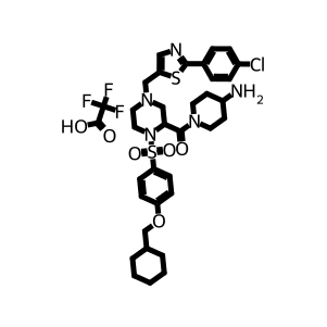 NC1CCN(C(=O)C2CN(Cc3cnc(-c4ccc(Cl)cc4)s3)CCN2S(=O)(=O)c2ccc(OCC3CCCCC3)cc2)CC1.O=C(O)C(F)(F)F